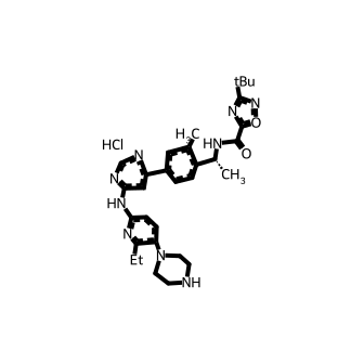 CCc1nc(Nc2cc(-c3ccc([C@@H](C)NC(=O)c4nc(C(C)(C)C)no4)c(C)c3)ncn2)ccc1N1CCNCC1.Cl